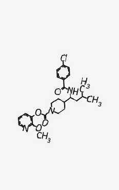 COc1ncccc1OC(=O)N1CCC(C(CC(C)C)NC(=O)c2ccc(Cl)cc2)CC1